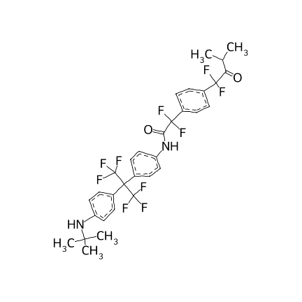 CC(C)C(=O)C(F)(F)c1ccc(C(F)(F)C(=O)Nc2ccc(C(c3ccc(NC(C)(C)C)cc3)(C(F)(F)F)C(F)(F)F)cc2)cc1